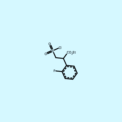 CCOC(=O)C(CS(=O)(=O)Cl)c1ccccc1F